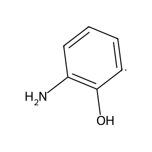 Nc1ccc[c]c1O